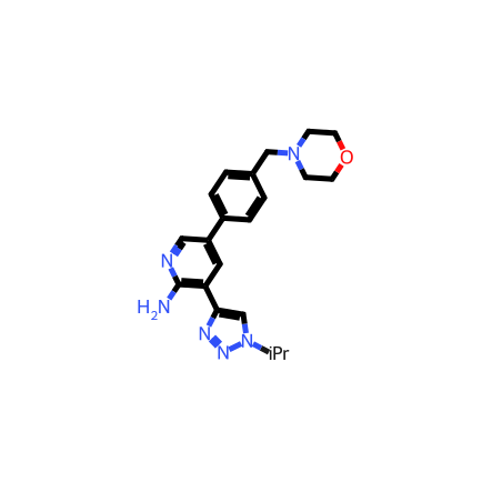 CC(C)n1cc(-c2cc(-c3ccc(CN4CCOCC4)cc3)cnc2N)nn1